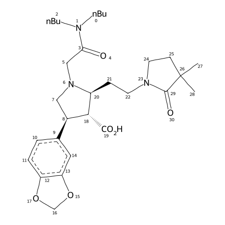 CCCCN(CCCC)C(=O)CN1C[C@H](c2ccc3c(c2)OCO3)[C@@H](C(=O)O)[C@@H]1CCN1CCC(C)(C)C1=O